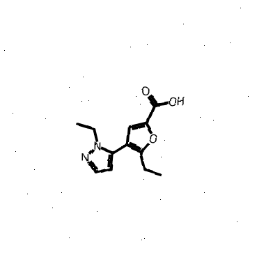 CCc1oc(C(=O)O)cc1-c1ccnn1CC